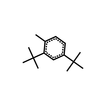 Cc1ccc(C(C)(C)C)cc1C(C)(C)C